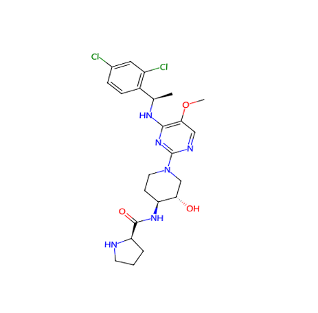 COc1cnc(N2CC[C@H](NC(=O)[C@H]3CCCN3)[C@@H](O)C2)nc1N[C@H](C)c1ccc(Cl)cc1Cl